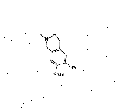 CSc1cc2c(cc1C(C)C)CCN(C)C2